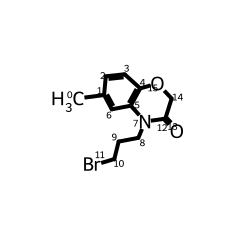 Cc1ccc2c(c1)N(CCCBr)C(=O)CO2